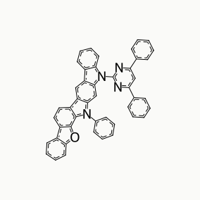 c1ccc(-c2cc(-c3ccccc3)nc(-n3c4ccccc4c4cc5c6ccc7c8ccccc8oc7c6n(-c6ccccc6)c5cc43)n2)cc1